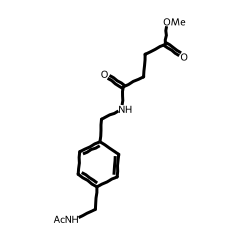 COC(=O)CCC(=O)NCc1ccc(CNC(C)=O)cc1